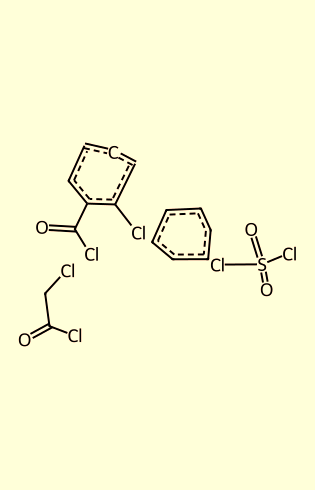 O=C(Cl)CCl.O=C(Cl)c1ccccc1Cl.O=S(=O)(Cl)Cl.c1ccccc1